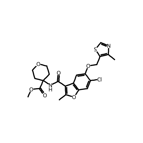 COC(=O)C1(NC(=O)c2c(C)oc3cc(Cl)c(OCc4scnc4C)cc23)CCOCC1